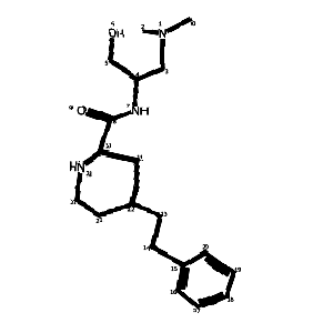 CN(C)CC(CO)NC(=O)C1CC(CCc2ccccc2)CCN1